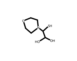 O[C](O)C(S)N1CCOCC1